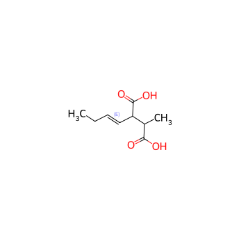 CC/C=C/C(C(=O)O)C(C)C(=O)O